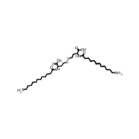 NCCCCCCCCCCCC(=O)NC(CCSSCCC(NC(=O)CCCCCCCCCCCN)C(=O)O)C(=O)O